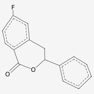 O=C1OC(c2ccccc2)Cc2cc(F)ccc21